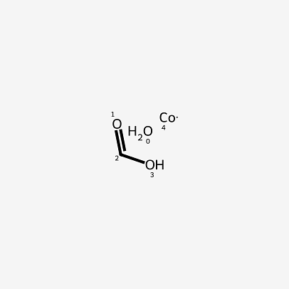 O.O=CO.[Co]